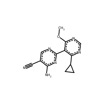 COc1ncnc(C2CC2)c1-c1ncc(C#N)c(N)n1